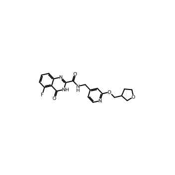 O=C(NCc1ccnc(OCC2CCOC2)c1)c1nc2cccc(F)c2c(=O)[nH]1